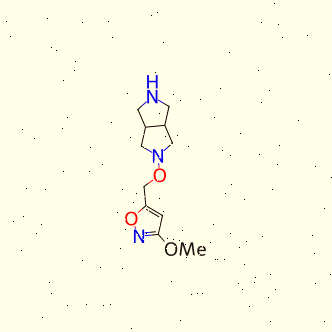 COc1cc(CON2CC3CNCC3C2)on1